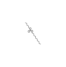 CCCCCCCCCCOC(=O)OCCCCC